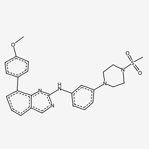 COc1ccc(-c2cccc3cnc(Nc4cccc(N5CCN(S(C)(=O)=O)CC5)c4)nc23)cc1